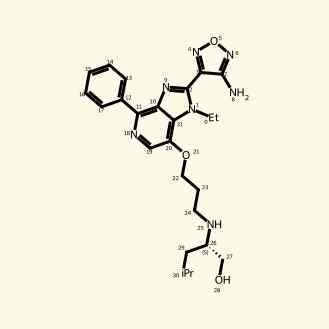 CCn1c(-c2nonc2N)nc2c(-c3ccccc3)ncc(OCCCN[C@H](CO)CC(C)C)c21